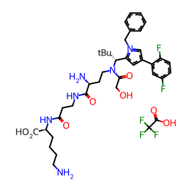 CC(C)(C)[C@H](c1cc(-c2cc(F)ccc2F)cn1Cc1ccccc1)N(CC[C@H](N)C(=O)NCCC(=O)N[C@@H](CCCCN)C(=O)O)C(=O)CO.O=C(O)C(F)(F)F